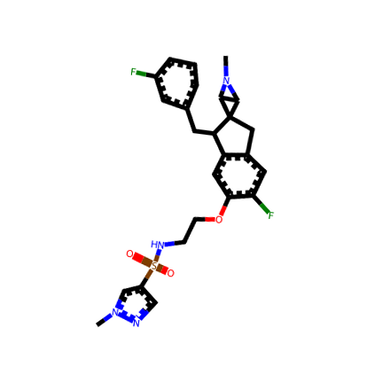 CN1C2C1C21Cc2cc(F)c(OCCNS(=O)(=O)c3cnn(C)c3)cc2C1Cc1cccc(F)c1